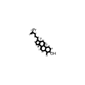 C=C(CCCC1CC[C@@]2(C)C3=CCC4C(C)[C@@H](O)CC[C@]4(C)C3=CC[C@]12C)C(C)C